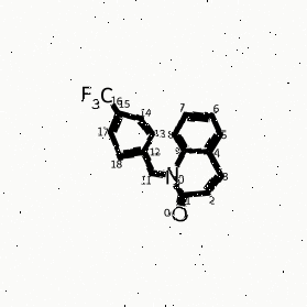 O=c1ccc2ccccc2n1Cc1ccc(C(F)(F)F)cc1